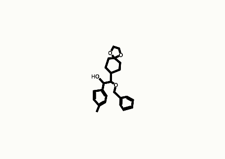 Cc1ccc(C(O)C(OCc2ccccc2)C2CCC3(CC2)OCCO3)cc1